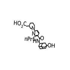 CCCSc1nc(N2CCCC(CC(=O)O)C2)ccc1C(=O)NC1C2CC3CC1CC(O)(C3)C2